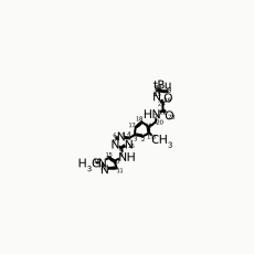 Cc1cc(-c2ncnc(Nc3cnn(C)c3)n2)ccc1CNC(=O)c1nc(C(C)(C)C)co1